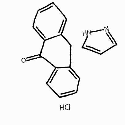 Cl.O=C1c2ccccc2Cc2ccccc21.c1cn[nH]c1